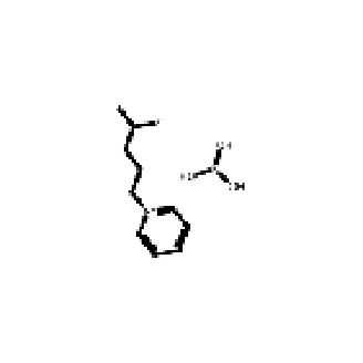 CC(F)CCC[n+]1ccccc1.OB(O)O